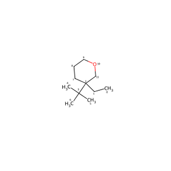 CCC1(C(C)(C)C)CCCOC1